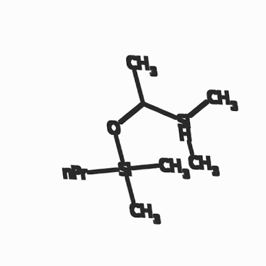 CCC[Si](C)(C)OC(C)[SiH](C)C